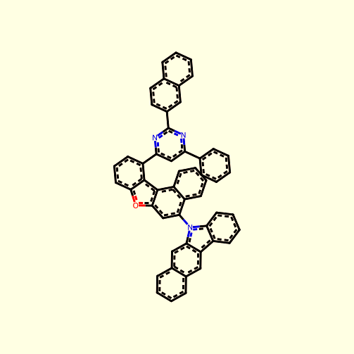 c1ccc(-c2cc(-c3cccc4oc5cc(-n6c7ccccc7c7cc8ccccc8cc76)c6ccccc6c5c34)nc(-c3ccc4ccccc4c3)n2)cc1